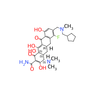 CN(Cc1cc(O)c2c(c1F)C[C@H]1C[C@H]3[C@H](N(C)C)C(O)=C(C(N)=O)C(=O)[C@@]3(O)C(O)=C1C2=O)CC1CCCC1